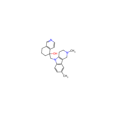 Cc1ccc2c(c1)c1c(n2CC2(O)CCCc3cnccc32)CCN(C)C1